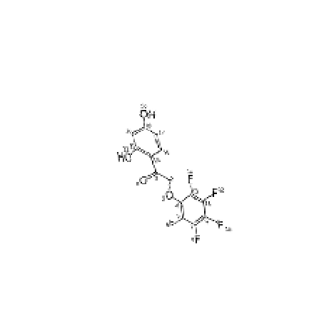 O=C(COc1c(F)c(F)c(F)c(F)c1F)c1ccc(O)cc1O